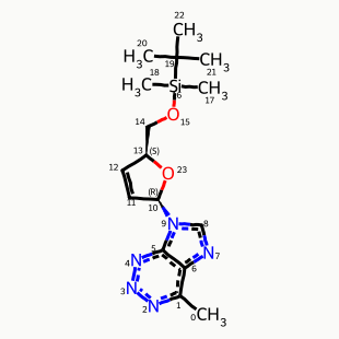 Cc1nnnc2c1ncn2[C@H]1C=C[C@@H](CO[Si](C)(C)C(C)(C)C)O1